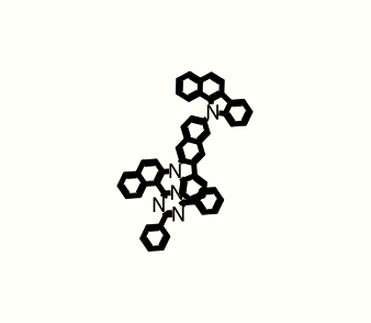 c1ccc(-c2nc(-c3ccccc3)nc(-c3c(-n4c5ccccc5c5cc6cc(-n7c8ccccc8c8ccc9ccccc9c87)ccc6cc54)ccc4ccccc34)n2)cc1